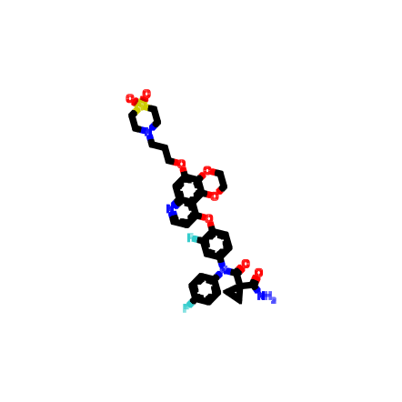 NC(=O)C1(C(=O)N(c2ccc(F)cc2)c2ccc(Oc3ccnc4cc(OCCCN5CCS(=O)(=O)CC5)c5c(c34)OCCO5)c(F)c2)CC1